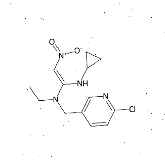 CCN(Cc1ccc(Cl)nc1)C(=C[N+](=O)[O-])NC1CC1